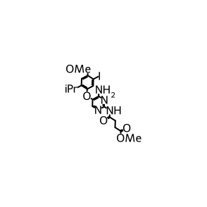 COC(=O)CCC(=O)Nc1ncc(Oc2cc(I)c(OC)cc2C(C)C)c(N)n1